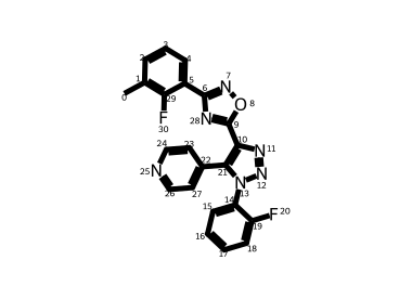 Cc1cccc(-c2noc(-c3nnn(-c4ccccc4F)c3-c3ccncc3)n2)c1F